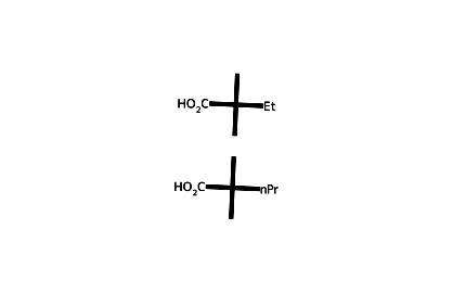 CCC(C)(C)C(=O)O.CCCC(C)(C)C(=O)O